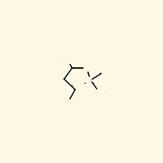 CCCCCCCC(CCO)O[Si](C)(C)C(C)(C)C